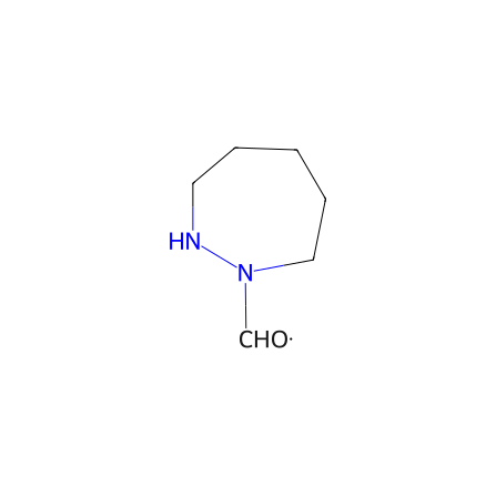 O=[C]N1CCCCCN1